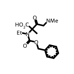 CCN(C(=O)OCc1ccccc1)C(C)(C(=O)O)C(=O)CNC